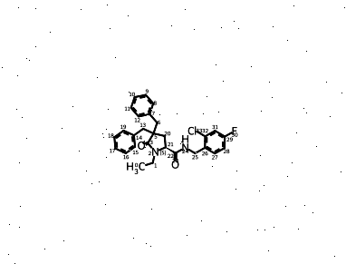 CCN1C(=O)C(Cc2ccccc2)(Cc2ccccc2)C[C@H]1C(=O)NCc1ccc(F)cc1Cl